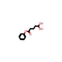 O=C(CCCC(O)O)Oc1ccccc1